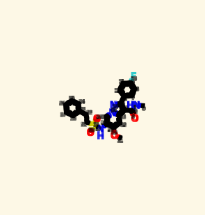 CNC(=O)c1c(-c2ccc(F)cc2)nn2cc(NS(=O)(=O)CCc3ccccc3)c(OC)cc12